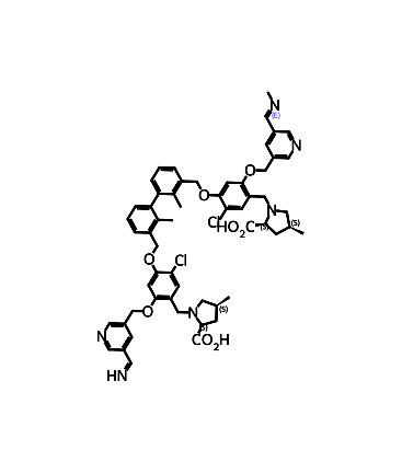 C/N=C/c1cncc(COc2cc(OCc3cccc(-c4cccc(COc5cc(OCc6cncc(C=N)c6)c(CN6C[C@@H](C)C[C@H]6C(=O)O)cc5Cl)c4C)c3C)c(Cl)cc2CN2C[C@@H](C)C[C@H]2C(=O)O)c1